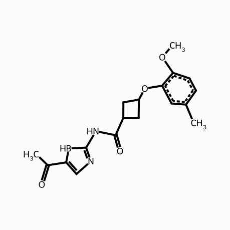 COc1ccc(C)cc1OC1CC(C(=O)NC2=NC=C(C(C)=O)B2)C1